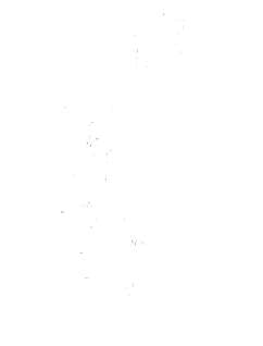 O=C(OCc1ccccc1)N1CC2CC1CCN2c1ccc(Cl)nc1